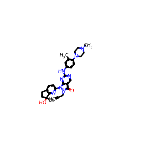 C#CCn1c(=O)c2cnc(Nc3ccc(N4CCN(C)CC4)c(C)c3)nc2n1-c1ccc2c(n1)C(O)(CC)CC2